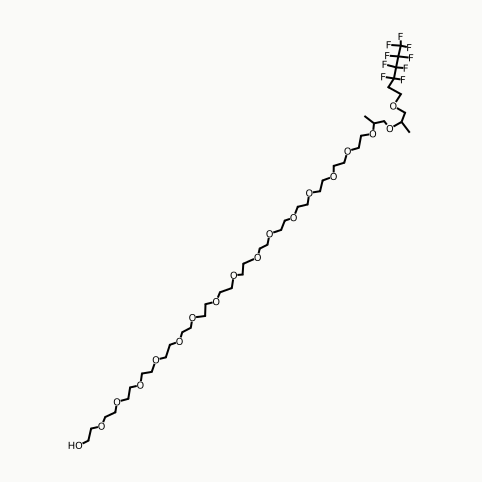 CC(COCCC(F)(F)C(F)(F)C(F)(F)C(F)(F)F)OCC(C)OCCOCCOCCOCCOCCOCCOCCOCCOCCOCCOCCOCCOCCOCCOCCO